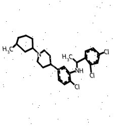 CC1CCCC(N2CCC(c3ccc(Cl)c(NC(C)c4ccc(Cl)cc4Cl)c3)CC2)C1